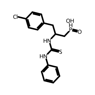 O=[PH](O)CC(Cc1ccc(Cl)cc1)NC(=S)Nc1ccccc1